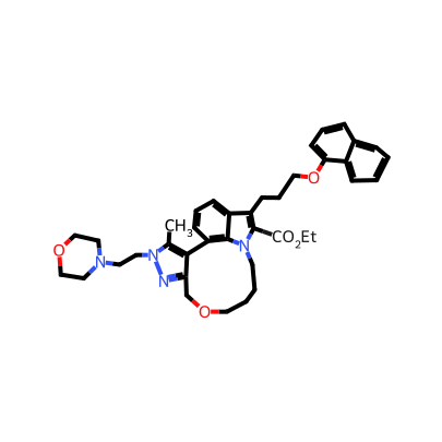 CCOC(=O)c1c(CCCOc2cccc3ccccc23)c2cccc3c2n1CCCCOCc1nn(CCN2CCOCC2)c(C)c1-3